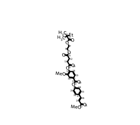 CCC(C)(C)C(=O)OCCOC(=O)CCC(=O)Oc1ccc(C(=O)Oc2ccc(/C=C/C(=O)OC)cc2)cc1OC